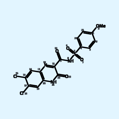 COc1ccc(S(=O)(=O)NC(=O)c2nc3cc(Cl)c(Cl)cc3[nH]c2=O)cc1